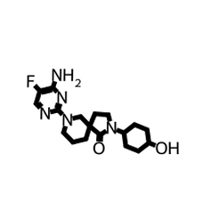 Nc1nc(N2CCCC3(CCN(C4CCC(O)CC4)C3=O)C2)ncc1F